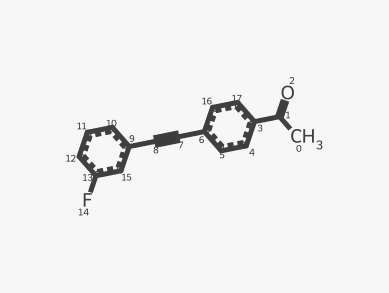 CC(=O)c1ccc(C#Cc2cccc(F)c2)cc1